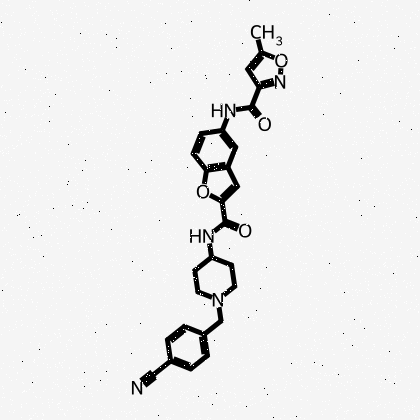 Cc1cc(C(=O)Nc2ccc3oc(C(=O)NC4CCN(Cc5ccc(C#N)cc5)CC4)cc3c2)no1